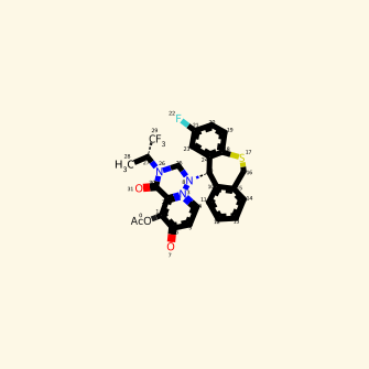 CC(=O)Oc1c2n(ccc1=O)N([C@H]1c3ccccc3CSc3ccc(F)cc31)CN([C@H](C)C(F)(F)F)C2=O